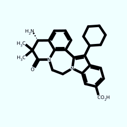 CC1(C)C(=O)N2CCn3c(c(C4CCCCC4)c4ccc(C(=O)O)cc43)-c3cccc(c32)[C@H]1N